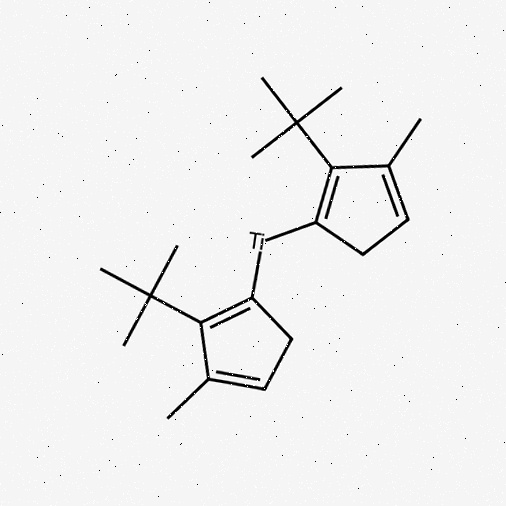 CC1=CC[C]([Ti][C]2=C(C(C)(C)C)C(C)=CC2)=C1C(C)(C)C